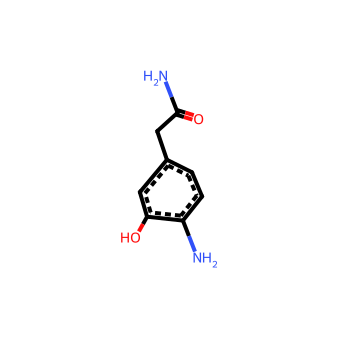 NC(=O)Cc1ccc(N)c(O)c1